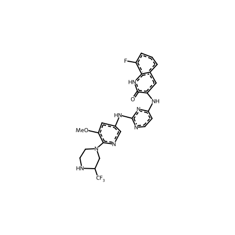 COc1cc(Nc2nccc(Nc3cc4cccc(F)c4[nH]c3=O)n2)cnc1N1CCNC(C(F)(F)F)C1